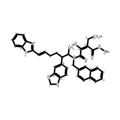 CC(C(CC/C=C/c1nc2ccccc2o1)c1ccc2c(c1)OCO2)N(Cc1ccc2ccccc2c1)C(=O)C(O)=C(CC(=O)O)C(=O)OC(C)(C)C